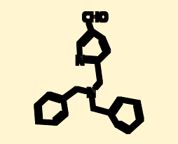 O=Cc1ccc(CN(Cc2ccccc2)Cc2ccccc2)nc1